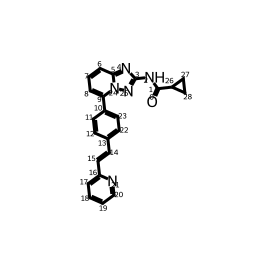 O=C(Nc1nc2cccc(-c3ccc(/C=C/c4ccccn4)cc3)n2n1)C1CC1